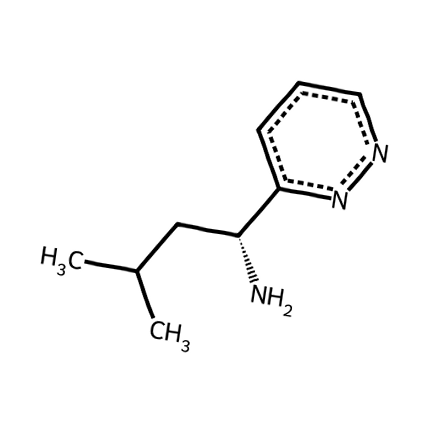 CC(C)C[C@@H](N)c1cccnn1